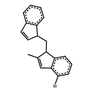 CC1=Cc2c(Br)cccc2C1CC1C=Cc2ccccc21